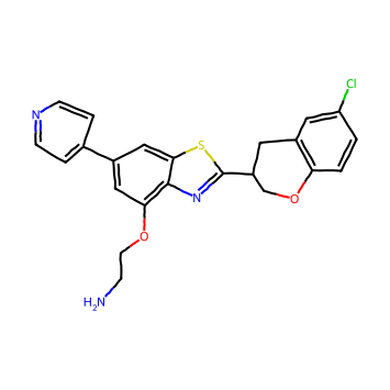 NCCOc1cc(-c2ccncc2)cc2sc(C3COc4ccc(Cl)cc4C3)nc12